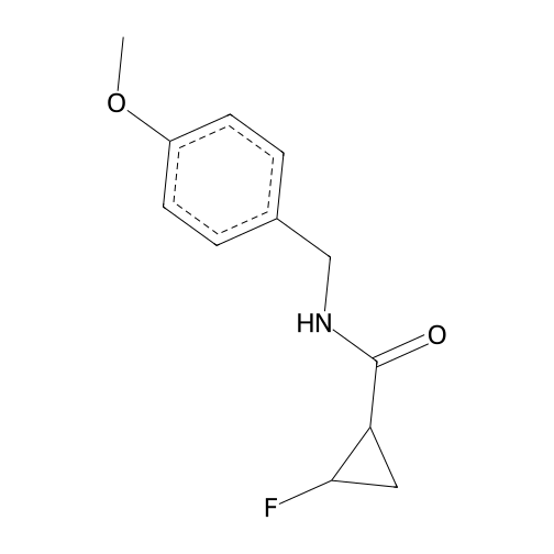 COc1ccc(CNC(=O)C2CC2F)cc1